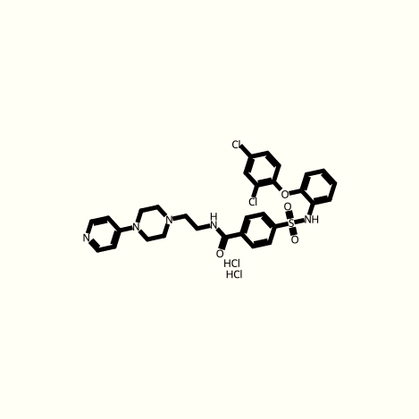 Cl.Cl.O=C(NCCN1CCN(c2ccncc2)CC1)c1ccc(S(=O)(=O)Nc2ccccc2Oc2ccc(Cl)cc2Cl)cc1